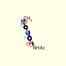 CC(=O)NC[C@H]1CN(c2ccc(N3CCN(c4ccc(-c5nnc(C)o5)c(F)c4)CC3)c(F)c2)C(=O)O1